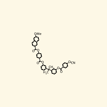 COc1ccc2cc(C(=O)Oc3ccc(C(=O)Oc4cccc(C(C)(C)c5cccc(OC(=O)c6ccc(OC#N)cc6)c5)c4)cc3)ccc2c1